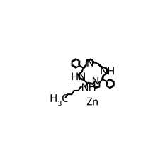 CCCCCCNc1c2nc(c(-c3ccccc3)c3ccc(cc4nc(c(-c5ccccc5)c5ccc1[nH]5)C=C4)[nH]3)C=C2.[Zn]